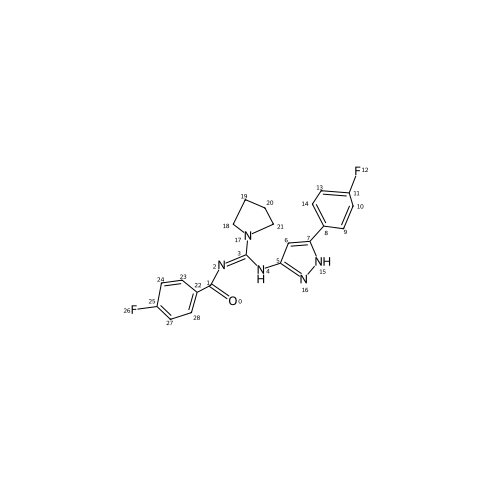 O=C(/N=C(\Nc1cc(-c2ccc(F)cc2)[nH]n1)N1CCCC1)c1ccc(F)cc1